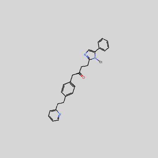 CCn1c(-c2ccccc2)cnc1CCC(=O)Cc1ccc(CCc2ccccn2)cc1